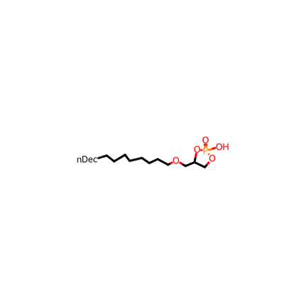 CCCCCCCCCCCCCCCCCCOCC1COP(=O)(O)O1